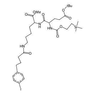 COC(=O)C(CCCCNC(=O)CCCc1ccc(I)cc1)NC(=O)C(CCC(=O)OC(C)(C)C)NC(=O)OCC[Si](C)(C)C